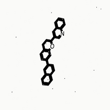 c1ccc2cc(-c3ccc4c(c3)OC(c3cnc5ccccc5c3)CC4)ccc2c1